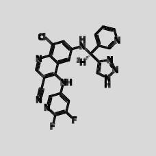 [2H][C@](Nc1cc(Cl)c2ncc(C#N)c(Nc3cnc(F)c(F)c3)c2c1)(c1cccnc1)c1c[nH]nn1